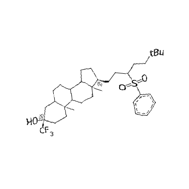 CC(C)(C)CCC(CC[C@@H]1CCC2C3CCC4C[C@](O)(C(F)(F)F)CCC4(C)C3CCC21C)S(=O)(=O)c1ccccc1